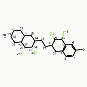 Cc1ccc2c(c1)C(F)C(F)C(CCC1CC3CC[C@@H](C)CC3[C@@H](F)[C@H]1F)C2